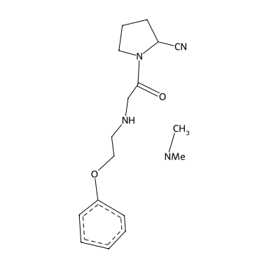 CNC.N#CC1CCCN1C(=O)CNCCOc1ccccc1